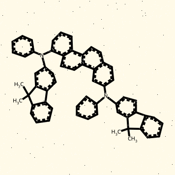 CC1(C)c2ccccc2-c2ccc(N(c3ccccc3)c3ccc4ccc5c6cccc(N(c7ccccc7)c7ccc8c(c7)C(C)(C)c7ccccc7-8)c6ccc5c4c3)cc21